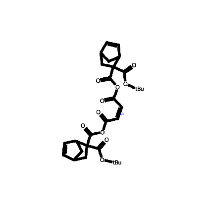 CC(C)(C)OC(=O)C1(C(=O)OC(=O)/C=C\C(=O)OC(=O)C2(C(=O)OC(C)(C)C)CC3C=CC2C3)CC2C=CC1C2